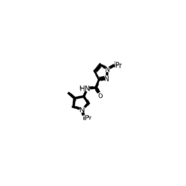 CC1CN(C(C)C)CC1NC(=O)c1ccn(C(C)C)n1